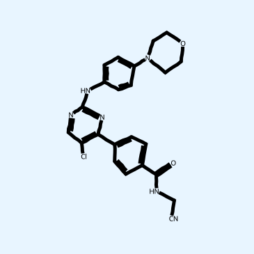 N#CCNC(=O)c1ccc(-c2nc(Nc3ccc(N4CCOCC4)cc3)ncc2Cl)cc1